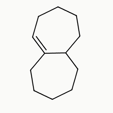 C1=C2CCCCCC2CCCC1